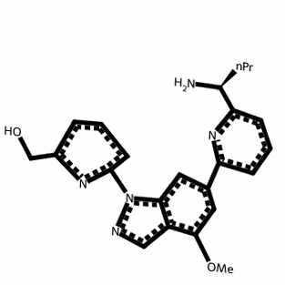 CCC[C@H](N)c1cccc(-c2cc(OC)c3cnn(-c4cccc(CO)n4)c3c2)n1